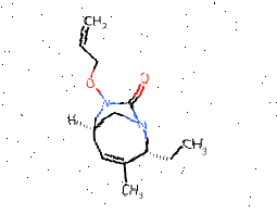 C=CCON1C(=O)N2C[C@H]1C=C(C)[C@H]2CC